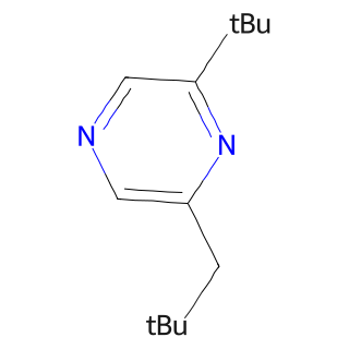 CC(C)(C)Cc1cncc(C(C)(C)C)n1